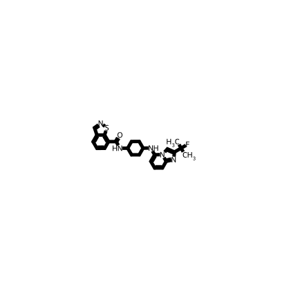 CC(C)(F)c1cn2c(NC3CCC(NC(=O)c4cccc5cnsc45)CC3)cccc2n1